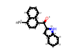 CCCc1ccc(C(=O)c2cc3ccccc3[nH]2)c2ccccc12